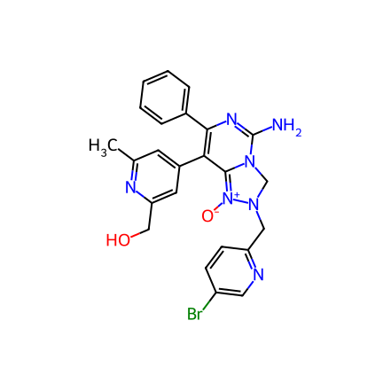 Cc1cc(C2=C(c3ccccc3)N=C(N)N3CN(Cc4ccc(Br)cn4)[N+]([O-])=C23)cc(CO)n1